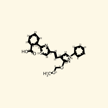 COCOc1nn(-c2ccccc2)cc1C=Cc1csc(-c2ccccc2C(=O)O)n1